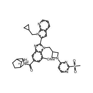 COc1cc(C(=O)N2CC3CCC2[C@@H]3N)cc2nc(-c3cc4cccnc4n3CC3CC3)n(CC3CN(c4ccnc(S(C)(=O)=O)n4)C3)c12